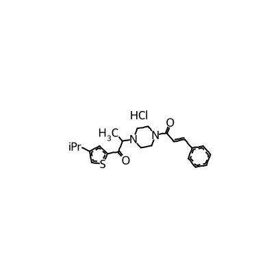 CC(C)c1csc(C(=O)C(C)N2CCN(C(=O)C=Cc3ccccc3)CC2)c1.Cl